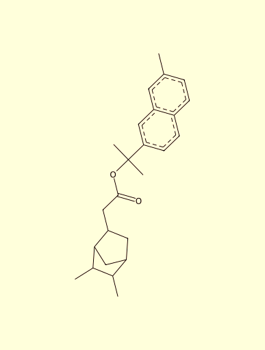 Cc1ccc2ccc(C(C)(C)OC(=O)CC3CC4CC3C(C)C4C)cc2c1